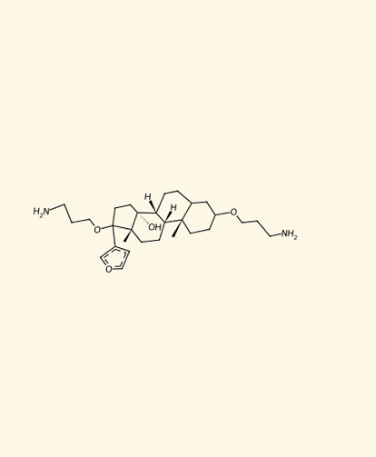 C[C@]12CCC(OCCCN)CC1CC[C@@H]1[C@H]2CC[C@]2(C)C(OCCCN)(c3ccoc3)CC[C@@]12O